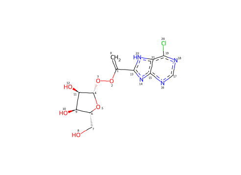 C=C(OO[C@@H]1O[C@H](CO)[C@@H](O)[C@H]1O)c1nc2ncnc(Cl)c2[nH]1